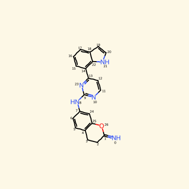 N=C1CCc2ccc(Nc3nccc(-c4cccc5cc[nH]c45)n3)cc2O1